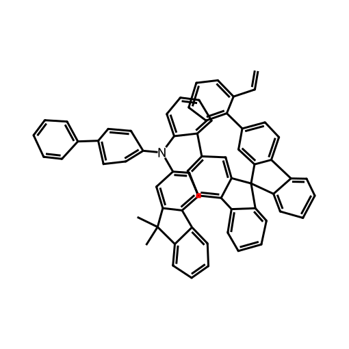 C=Cc1ccccc1-c1ccc2c(c1)C1(c3ccccc3-2)c2ccccc2-c2ccc(-c3ccccc3N(c3ccc(-c4ccccc4)cc3)c3ccc4c(c3)C(C)(C)c3ccccc3-4)cc21